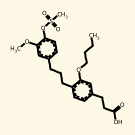 CCCCOc1cc(CCC(=O)O)ccc1CCCc1ccc(OS(C)(=O)=O)c(OC)c1